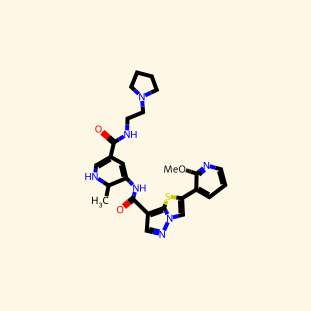 COc1ncccc1-c1cn2ncc(C(=O)NC3=CC(C(=O)NCCN4CCCC4)=CNC3C)c2s1